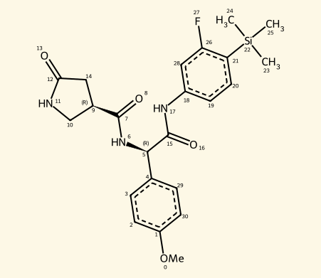 COc1ccc([C@@H](NC(=O)[C@H]2CNC(=O)C2)C(=O)Nc2ccc([Si](C)(C)C)c(F)c2)cc1